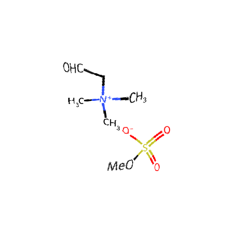 COS(=O)(=O)[O-].C[N+](C)(C)CC=O